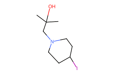 CC(C)(O)CN1CCC(I)CC1